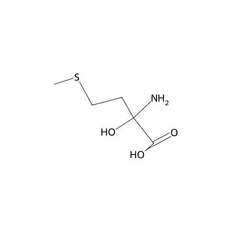 CSCCC(N)(O)C(=O)O